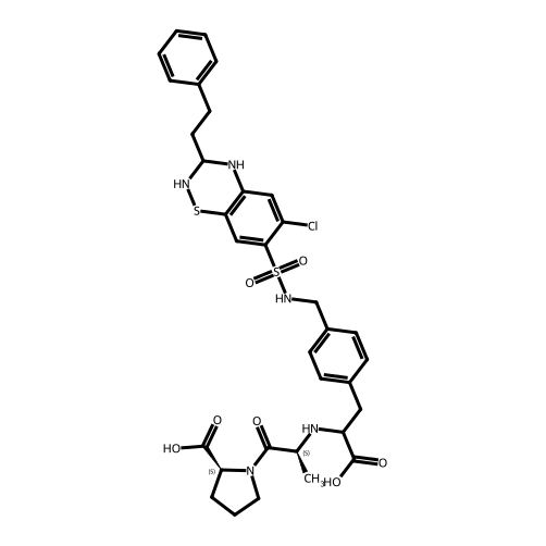 C[C@H](NC(Cc1ccc(CNS(=O)(=O)c2cc3c(cc2Cl)NC(CCc2ccccc2)NS3)cc1)C(=O)O)C(=O)N1CCC[C@H]1C(=O)O